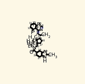 C=C(/C=C(\N=N/C)c1c(F)cccc1F)[C@@H]1CC[C@@](C)(CN(CC)C(=O)c2ccc3[nH]c(C)nc3c2)C1(C)C